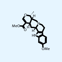 COC(=O)C1=CO[C@H](C)[C@@H]2CN3CCc4c([nH]c5cc(OC)ccc45)[C@@H]3C[C@H]12